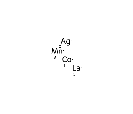 [Ag].[Co].[La].[Mn]